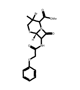 COC(=O)C1N2C(=O)C(NC(=O)COc3ccccc3)[C@@H]2SCC1(C)Br